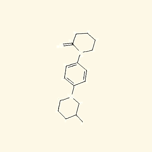 CC1CCCN(c2ccc(N3CCCCC3=O)cc2)C1